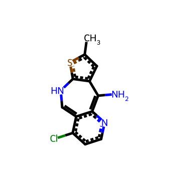 Cc1cc2c(s1)NC=c1c(Cl)ccnc1=C2N